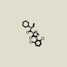 C=CN(C(=O)n1nnn(-c2c(Cl)cccc2Cl)c1=O)C1CCCCC1